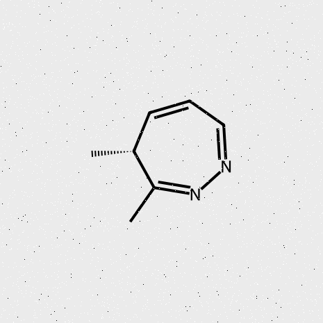 CC1=NN=CC=C[C@H]1C